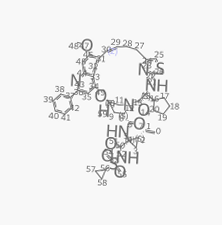 C=C[C@@H]1C[C@]1(NC(=O)[C@@H]1C[C@@H]2CN1C(=O)[C@H](C1CCCC1)Nc1nc(cs1)CC/C=C\c1cc3c(cc(-c4ccccc4)nc3cc1OC)O2)C(=O)NS(=O)(=O)C1CC1